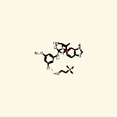 COc1cc(NC23N=CC(C)=C(NO2)N3c2ccc3c(c2)NCO3)cc(C(F)(F)F)c1.C[N+](C)(C)CCO